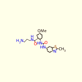 COc1ccc(NC(=O)Nc2ccc3nc(C)sc3c2)c(C(=O)NCCCN)c1